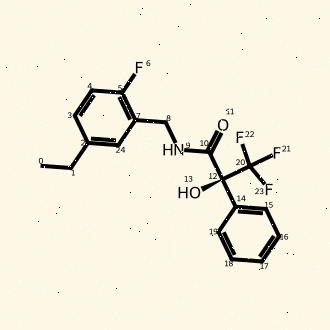 CCc1ccc(F)c(CNC(=O)[C@@](O)(c2ccccc2)C(F)(F)F)c1